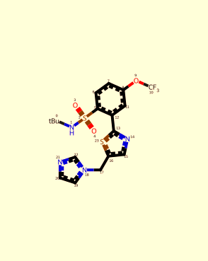 CC(C)(C)NS(=O)(=O)c1ccc(OC(F)(F)F)cc1-c1ncc(Cn2ccnc2)s1